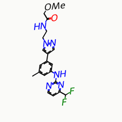 COCC(=O)NCCn1cc(-c2cc(C)cc(Nc3nccc(C(F)F)n3)c2)cn1